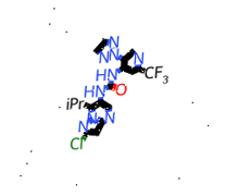 CC(C)c1c(NC(=O)Nc2cc(C(F)(F)F)ncc2-n2nccn2)cnc2cc(Cl)nn12